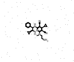 CN(CCN)c1nc(NC(C(N)=C2CC2)c2ccccc2)c(C#N)c(C2CC2)c1C#N